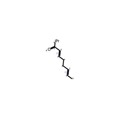 C/C=C/CC/C=C/C(=O)C(C)C